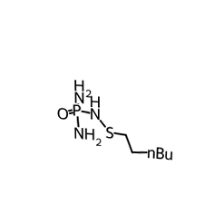 CCCCCCSNP(N)(N)=O